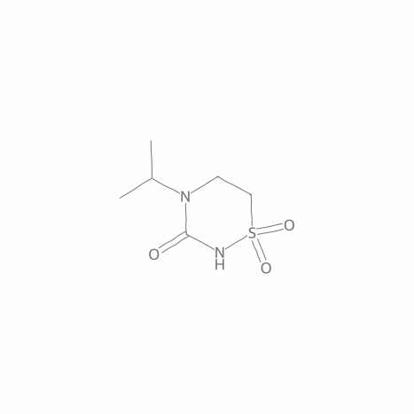 CC(C)N1CCS(=O)(=O)NC1=O